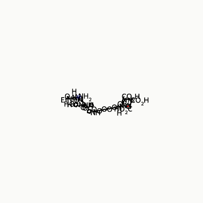 CCC(=O)NCCNC(=O)/N=C(/N)NCCC[C@@H](NC(=O)C(c1ccccc1)c1cccc(NC(=O)CCOCCOCCOCCOCCNC(=O)CN2CCN(CC(=O)O)CCN(CC(=O)O)CCN(CC(=O)O)CC2)c1)C(=O)NCc1ccc(O)cc1